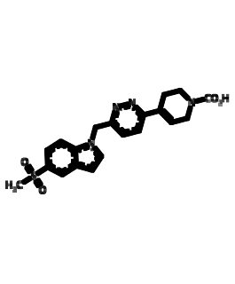 CS(=O)(=O)c1ccc2c(ccn2Cc2ccc(C3=CCN(C(=O)O)CC3)nn2)c1